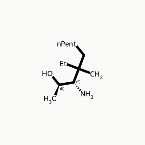 CCCCCCC(C)(CC)[C@H](N)[C@@H](C)O